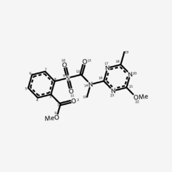 COC(=O)c1ccccc1S(=O)(=O)C(=O)N(C)c1nc(C)nc(OC)n1